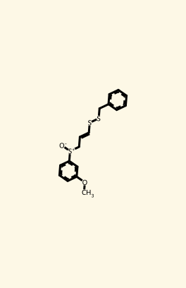 COc1cccc([S+]([O-])CC=CSSCc2ccccc2)c1